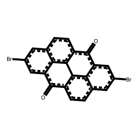 O=c1c2ccc3cc(Br)cc4c(=O)c5ccc6cc(Br)cc1c6c5-c2c34